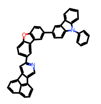 c1ccc(-n2c3ccccc3c3cc(-c4ccc5oc6ccc(-c7cc8c(cn7)-c7cccc9cccc-8c79)cc6c5c4)ccc32)cc1